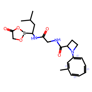 CC1=C/C(N2CCC2C(=O)NCC(=O)NC(CC(C)C)B2OCC(=O)O2)=C\C=C/C=C\1